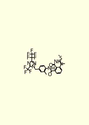 CSC[C@@H](C)c1cccc(C(=O)Nc2ccc(Cn3nc(C(F)(F)C(F)(F)F)nc3C(F)(F)F)cc2C)c1C(N)=O